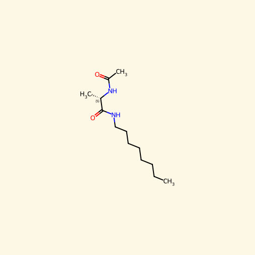 CCCCCCCCNC(=O)[C@H](C)NC(C)=O